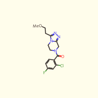 COCCc1nnc2n1CCN(C(=O)c1ccc(F)cc1Cl)C2